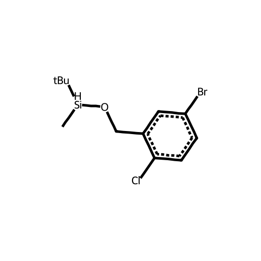 C[SiH](OCc1cc(Br)ccc1Cl)C(C)(C)C